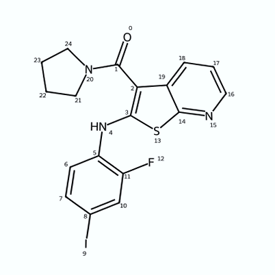 O=C(c1c(Nc2ccc(I)cc2F)sc2ncccc12)N1CCCC1